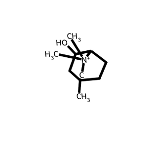 CC12CCC(C(O)C1)[N+](C)(C)C2